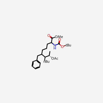 CCCCC(C(CCCC(NC(=O)OC(C)(C)C)C(=O)OC)Cc1ccccc1)[C@H](C)OC(C)=O